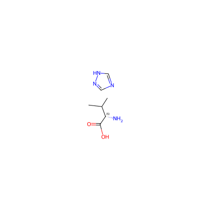 CC(C)[C@H](N)C(=O)O.c1nc[nH]n1